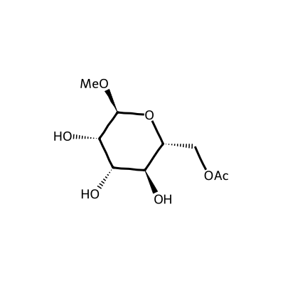 CO[C@H]1O[C@H](COC(C)=O)[C@@H](O)[C@H](O)[C@@H]1O